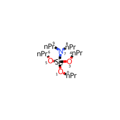 CCCO[Si](OCCC)(OCCC)N(CCC)CCC